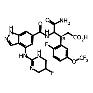 NC(=O)C(NC(=O)c1cc(NC2=NCC(F)CN2)c2cn[nH]c2c1)[C@@H](CC(=O)O)c1cc(OC(F)(F)F)ccc1F